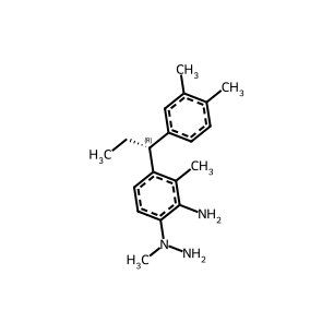 CC[C@H](c1ccc(C)c(C)c1)c1ccc(N(C)N)c(N)c1C